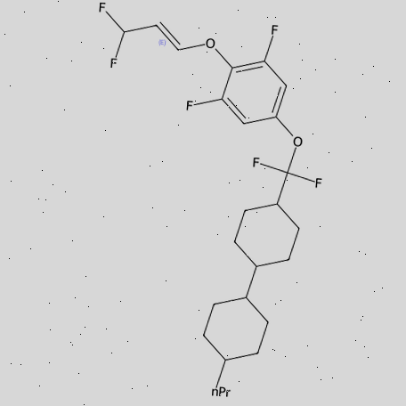 CCCC1CCC(C2CCC(C(F)(F)Oc3cc(F)c(O/C=C/C(F)F)c(F)c3)CC2)CC1